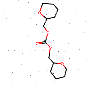 O=C(OCC1CCCCO1)OCC1CCCCO1